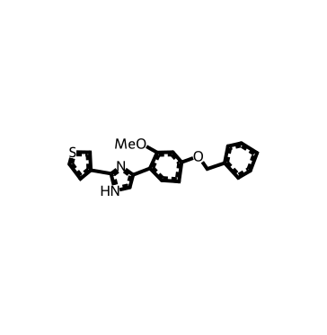 COc1cc(OCc2ccccc2)ccc1-c1c[nH]c(-c2ccsc2)n1